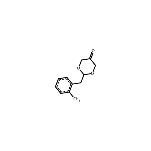 Cc1ccccc1CC1OCC(=O)CO1